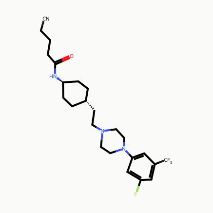 N#CCCCC(=O)N[C@H]1CC[C@H](CCN2CCN(c3cc(F)cc(C(F)(F)F)c3)CC2)CC1